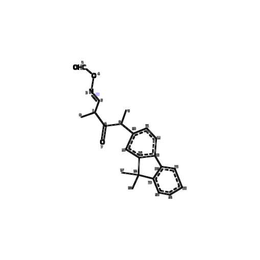 CC(/C=N/OC=O)C(=O)C(C)c1ccc2c(c1)C(C)(C)c1ccccc1-2